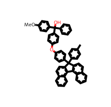 COc1ccc(C(O)(c2ccccc2)c2ccc(Oc3ccc(C4(c5ccc(C)cc5)c5ccc6ccccc6c5-c5c4ccc4ccccc54)cc3)cc2)cc1